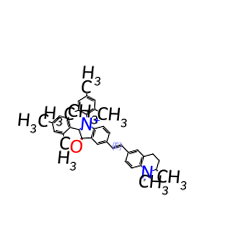 Cc1cc(C)c(C2=[N+](c3c(C)cc(C)cc3C)c3ccc(/C=C/c4ccc5c(c4)CCC(C)N5C)cc3C2=O)c(C)c1